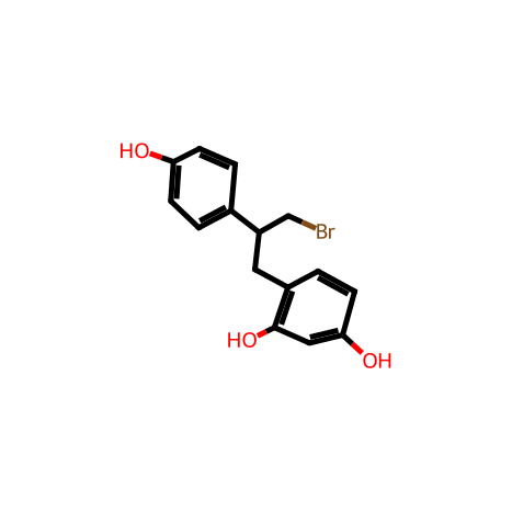 Oc1ccc(C(CBr)Cc2ccc(O)cc2O)cc1